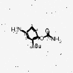 CCCCc1cc(N)ccc1OC(N)=O